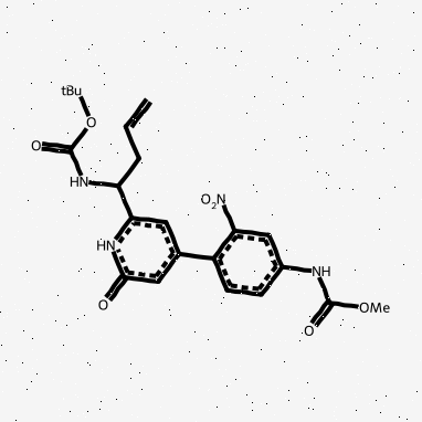 C=CCC(NC(=O)OC(C)(C)C)c1cc(-c2ccc(NC(=O)OC)cc2[N+](=O)[O-])cc(=O)[nH]1